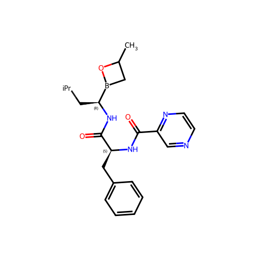 CC(C)C[C@H](NC(=O)[C@H](Cc1ccccc1)NC(=O)c1cnccn1)B1CC(C)O1